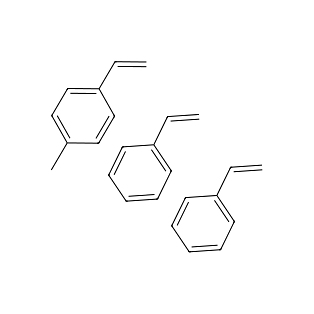 C=Cc1ccc(C)cc1.C=Cc1ccccc1.C=Cc1ccccc1